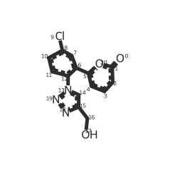 O=c1cccc(-c2cc(Cl)ccc2-n2cc(CO)nn2)o1